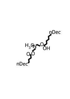 CCCCCCCCCCCCCCCC(O)OCCN(C)CCOC(=O)CCCCCCCCCCCCC